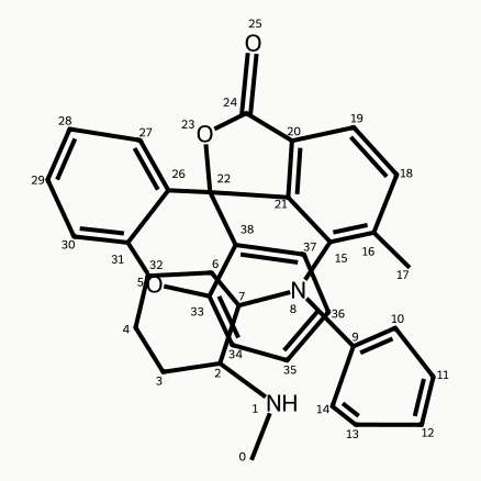 CNC1CCCCC1N(c1ccccc1)c1c(C)ccc2c1C1(OC2=O)c2ccccc2Oc2ccccc21